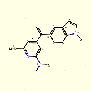 C=C(c1cc(SC)nc(N(C)C)c1)c1ccc2c(ccn2C)c1